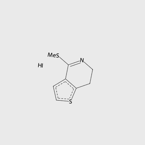 CSC1=NCCc2sccc21.I